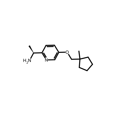 C[C@H](N)c1ccc(OCC2(C)CCCC2)cn1